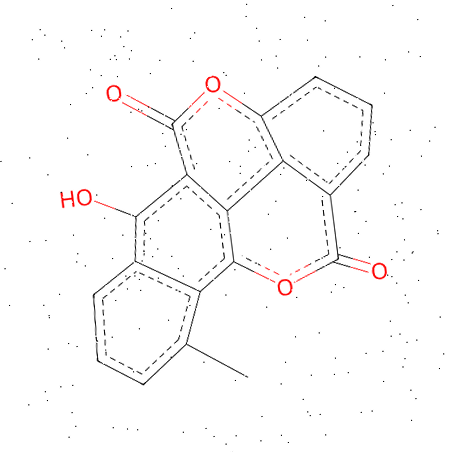 Cc1cccc2c(O)c3c(=O)oc4cccc5c(=O)oc(c12)c3c45